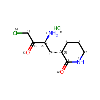 Cl.N[C@@H](C[C@@H]1CCCNC1=O)C(=O)CCl